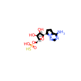 Nc1ncnn2c([C@@H]3O[C@H](COP(=O)(O)S)[C@@H](O)[C@H]3O)ccc12